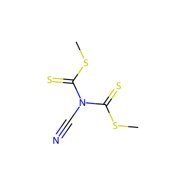 CSC(=S)N(C#N)C(=S)SC